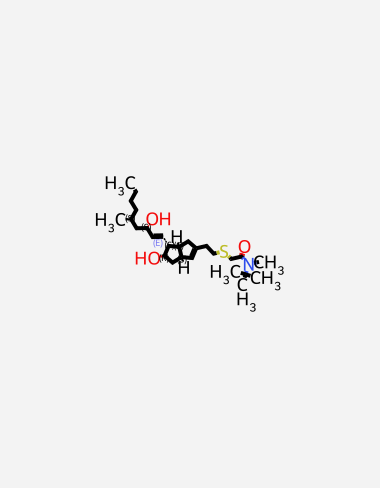 CCCC[C@H](C)C[C@H](O)/C=C/[C@@H]1[C@H]2CC(CCSCC(=O)N(C)C(C)(C)C)=C[C@H]2C[C@H]1O